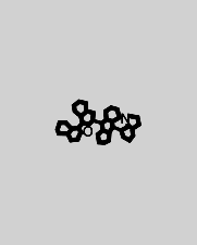 c1cnc2c(-c3c4ccccc4c(-c4cc5ccccc5c5c4oc4ccc6ccccc6c45)c4ccccc34)cccc2c1